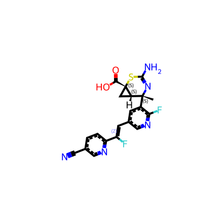 C[C@]1(c2cc(/C=C(\F)c3ccc(C#N)cn3)cnc2F)N=C(N)S[C@@]2(C(=O)O)C[C@H]21